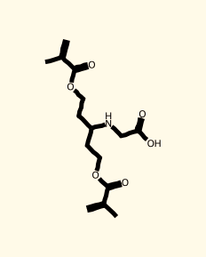 C=C(C)C(=O)OCCC(CCOC(=O)C(=C)C)NCC(=O)O